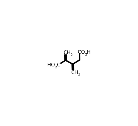 C=C(CC(=O)O)C(=C)C(=O)O